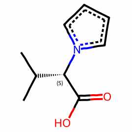 CC(C)[C@@H](C(=O)O)n1cccc1